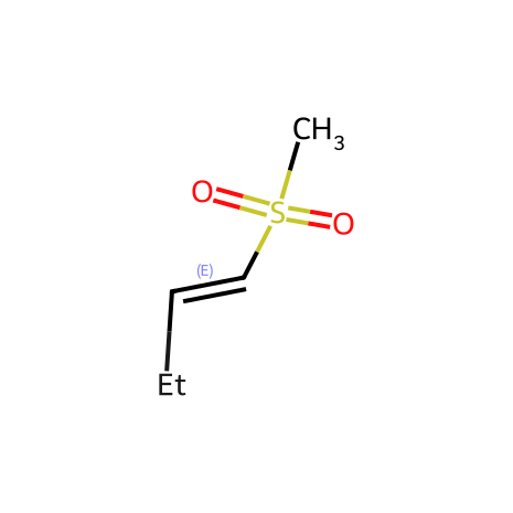 CC/C=C/S(C)(=O)=O